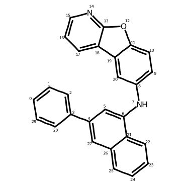 c1ccc(-c2cc(Nc3ccc4oc5ncccc5c4c3)c3ccccc3c2)cc1